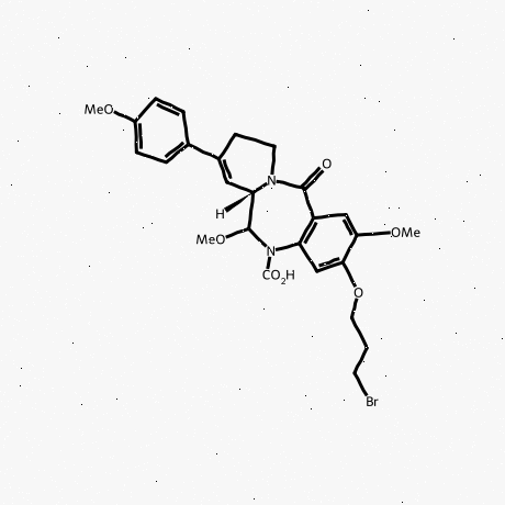 COc1ccc(C2=C[C@H]3C(OC)N(C(=O)O)c4cc(OCCCBr)c(OC)cc4C(=O)N3CC2)cc1